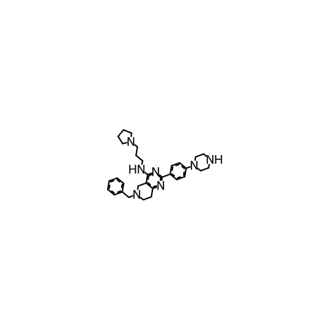 c1ccc(CN2CCc3nc(-c4ccc(N5CCNCC5)cc4)nc(NCCCN4CCCC4)c3C2)cc1